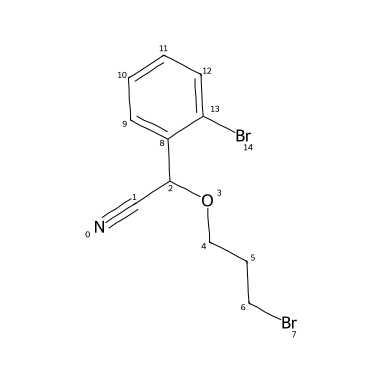 N#CC(OCCCBr)c1ccccc1Br